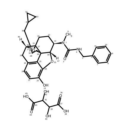 CN(C(=O)NCc1ccccc1)[C@@H]1CC[C@@]2(O)[C@H]3Cc4ccc(O)c5c4[C@@]2(CCN3CC2CC2)[C@H]1O5.O=C(O)C(O)C(O)C(=O)O